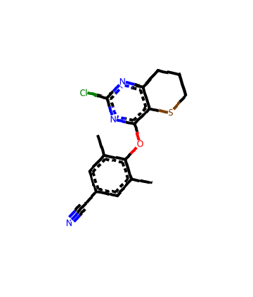 Cc1cc(C#N)cc(C)c1Oc1nc(Cl)nc2c1SCCC2